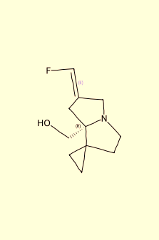 OC[C@]12C/C(=C\F)CN1CCC21CC1